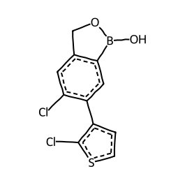 OB1OCc2cc(Cl)c(-c3ccsc3Cl)cc21